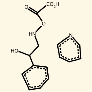 O=C(O)C(=O)ONCC(O)c1ccccc1.c1ccncc1